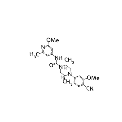 COc1cc(NC(=O)N2C[C@H](C)N(c3ccc(C#N)c(OC)c3)C[C@H]2C)cc(C)n1